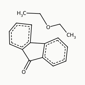 CCOCC.O=C1c2ccccc2-c2ccccc21